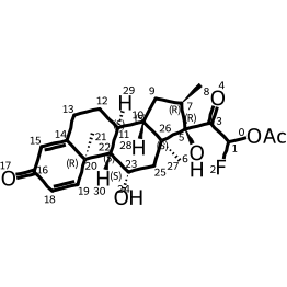 CC(=O)OC(F)C(=O)[C@@]1(O)[C@H](C)C[C@H]2[C@@H]3CCC4=CC(=O)C=C[C@]4(C)[C@H]3[C@@H](O)C[C@@]21C